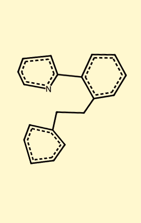 c1ccc(CCc2ccccc2-c2ccccn2)cc1